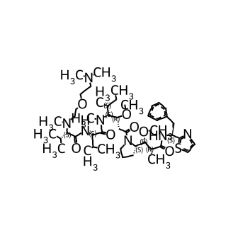 CC[C@H](C)[C@@H]([C@@H](CC(=O)N1CCC[C@H]1[C@H](OC)[C@@H](C)C(=O)N[C@@H](Cc1ccccc1)c1nccs1)OC)N(C)C(=O)[C@@H](NC(=O)[C@H](C(C)C)N(C)CCOCCN(C)C)C(C)C